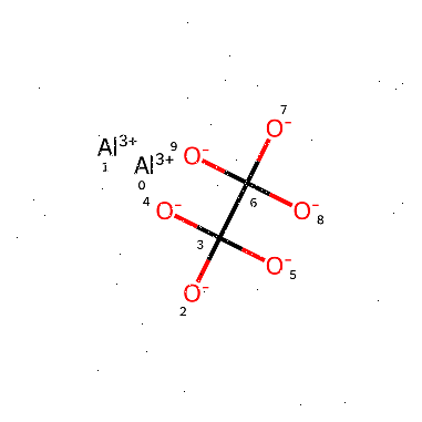 [Al+3].[Al+3].[O-]C([O-])([O-])C([O-])([O-])[O-]